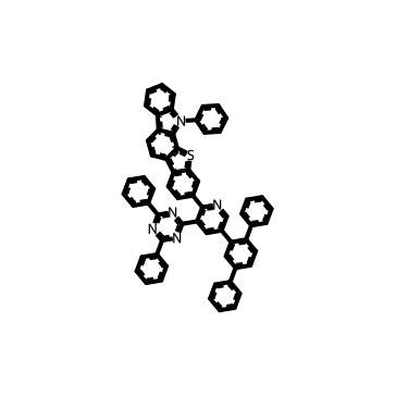 c1ccc(-c2ccc(-c3ccccc3)c(-c3cnc(-c4ccc5c(c4)sc4c5ccc5c6ccccc6n(-c6ccccc6)c54)c(-c4nc(-c5ccccc5)nc(-c5ccccc5)n4)c3)c2)cc1